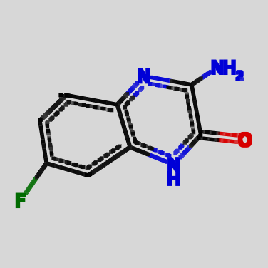 Nc1nc2[c]cc(F)cc2[nH]c1=O